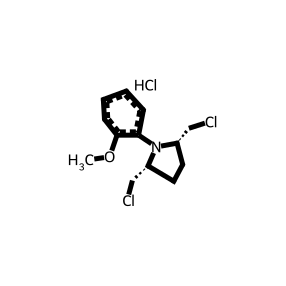 COc1ccccc1N1[C@H](CCl)CC[C@@H]1CCl.Cl